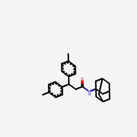 Cc1ccc(C(CC(=O)NC23CC4CC(CC(C4)C2)C3)c2ccc(C)cc2)cc1